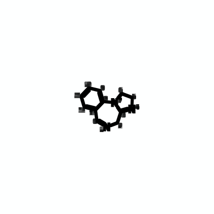 C1=NCC2=NCCN2c2ccccc21